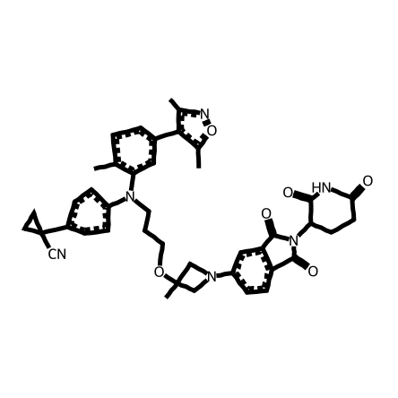 Cc1ccc(-c2c(C)noc2C)cc1N(CCCOC1(C)CN(c2ccc3c(c2)C(=O)N(C2CCC(=O)NC2=O)C3=O)C1)c1ccc(C2(C#N)CC2)cc1